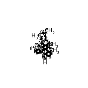 C=CC(=O)N1CC2CN(C)c3c(F)c(-c4c(C)ccc5[nH]ncc45)c(F)c4c3c(nc(=O)n4-c3c(C)ccnc3C(C)C)N2CC1C